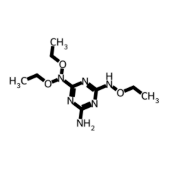 CCONc1nc(N)nc(N(OCC)OCC)n1